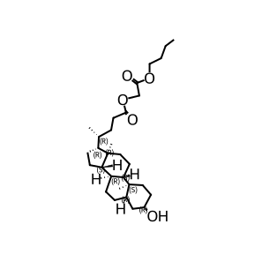 CCCCOC(=O)COC(=O)CC[C@@H](C)[C@H]1CC[C@H]2[C@@H]3CC[C@@H]4C[C@H](O)CC[C@]4(C)[C@H]3CC[C@]12C